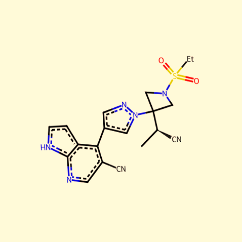 CCS(=O)(=O)N1CC([C@H](C)C#N)(n2cc(-c3c(C#N)cnc4[nH]ccc34)cn2)C1